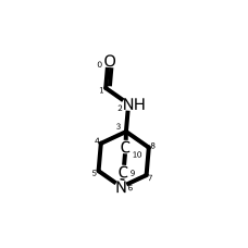 O=CNC12CCN(CC1)CC2